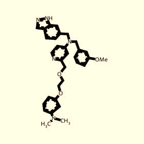 COc1cccc(CN(Cc2ccc3cn[nH]c3c2)c2ccnc(COCCOc3cccc(N(C)C)c3)c2)c1